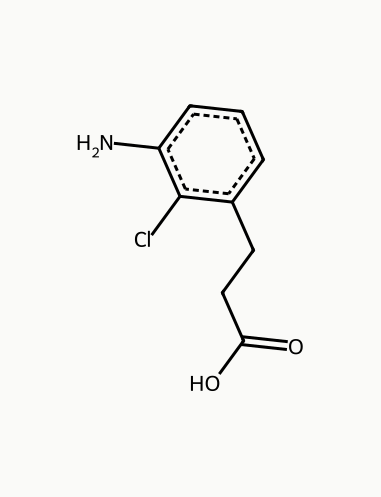 Nc1cccc(CCC(=O)O)c1Cl